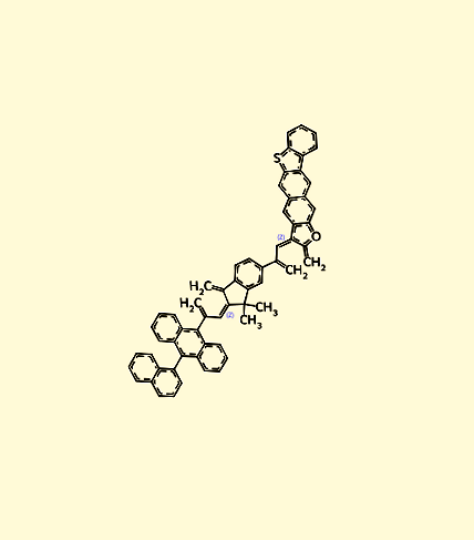 C=C(/C=c1\c(=C)oc2cc3cc4c(cc3cc12)sc1ccccc14)c1ccc2c(c1)C(C)(C)/C(=C/C(=C)c1c3ccccc3c(-c3cccc4ccccc34)c3ccccc13)C2=C